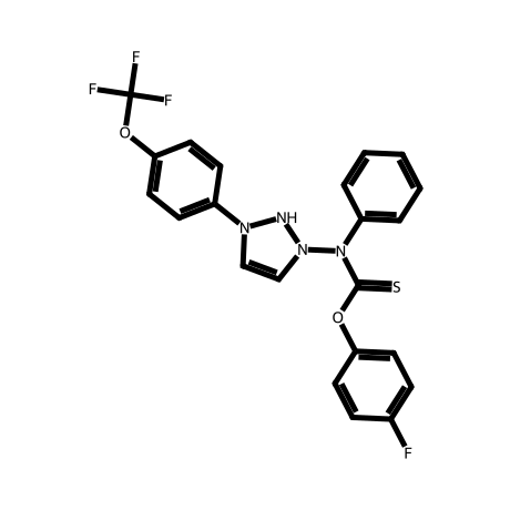 Fc1ccc(OC(=S)N(c2ccccc2)N2C=CN(c3ccc(OC(F)(F)F)cc3)N2)cc1